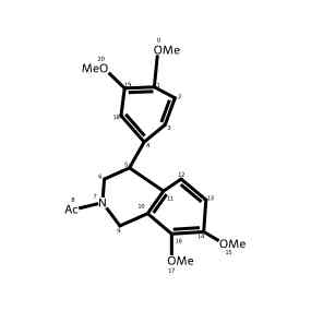 COc1ccc(C2CN(C(C)=O)Cc3c2ccc(OC)c3OC)cc1OC